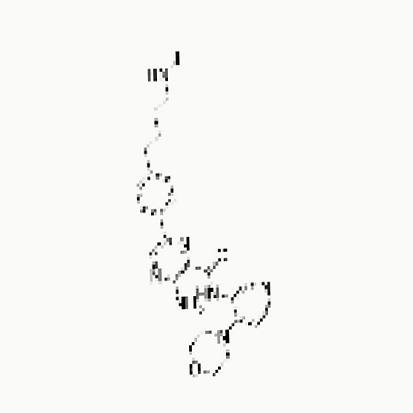 Nc1ncc(-c2ccc(CCCCNI)cc2)nc1C(=O)Nc1cnccc1N1CCOCC1